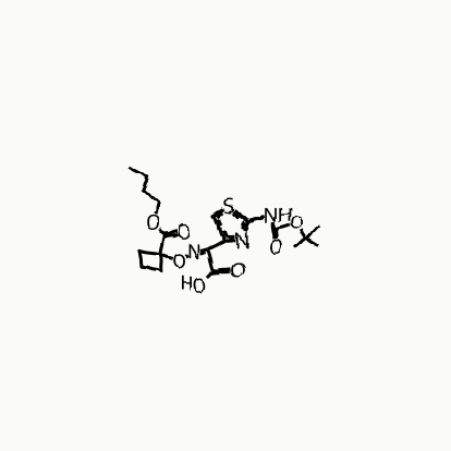 CCCCOC(=O)C1(O/N=C(\C(=O)O)c2csc(NC(=O)OC(C)(C)C)n2)CCC1